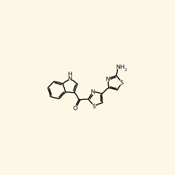 Nc1nc(-c2csc(C(=O)c3c[nH]c4ccccc34)n2)cs1